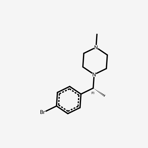 C[C@H](c1ccc(Br)cc1)N1CCN(C)CC1